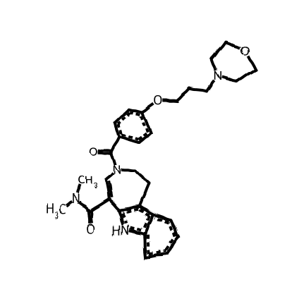 CN(C)C(=O)C1=CN(C(=O)c2ccc(OCCCN3CCOCC3)cc2)CCc2c1[nH]c1ccccc21